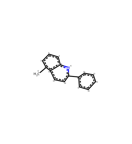 Cc1cccc2nc(-c3ccccc3)ccc12